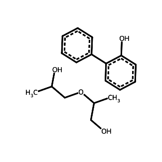 CC(O)COC(C)CO.Oc1ccccc1-c1ccccc1